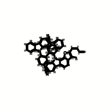 C=C/C=C\c1oc2c(ccc3c4ccccc4n(-c4ccc(C#N)cc4-c4cc(C#N)ccc4-n4c5ccccc5c5ccc6c7ccccc7oc6c54)c32)c1C